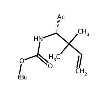 C=CC(C)(C)[C@H](NC(=O)OC(C)(C)C)C(C)=O